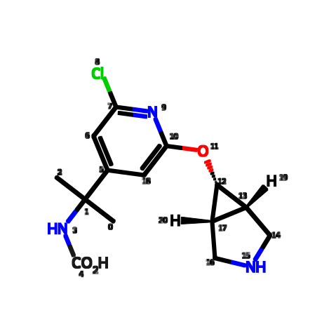 CC(C)(NC(=O)O)c1cc(Cl)nc(O[C@@H]2[C@@H]3CNC[C@@H]32)c1